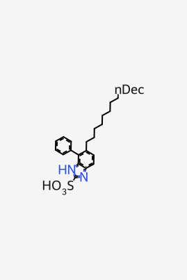 CCCCCCCCCCCCCCCCCCc1ccc2nc(S(=O)(=O)O)[nH]c2c1-c1ccccc1